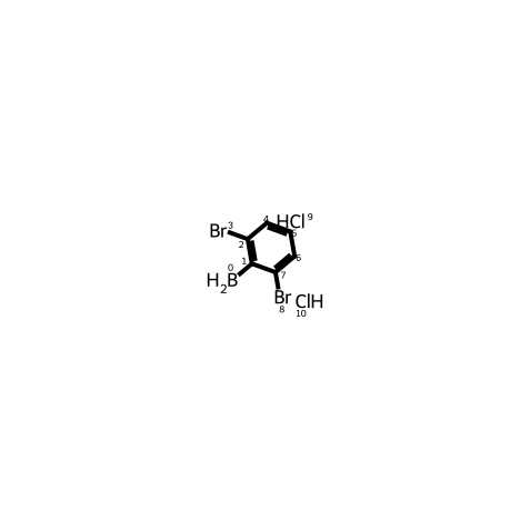 Bc1c(Br)cccc1Br.Cl.Cl